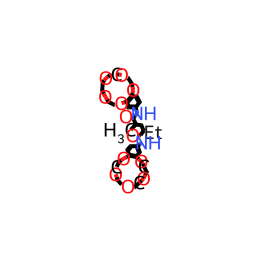 CCC(CC(C)C(=O)Nc1ccc2c(c1)OCCOCCOCCOCCO2)C(=O)Nc1ccc2c(c1)OCCOCCOCCOCCO2